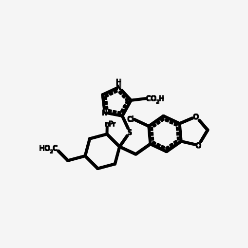 CCCC1CC(CC(=O)O)CCC1(Cc1cc2c(cc1Cl)OCO2)Sc1nc[nH]c1C(=O)O